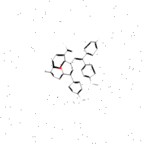 CCN(CC)c1ccc(C(=CC(C=C(c2ccc(Cl)cc2)c2ccc(N(CC)CC)cc2)c2ccccc2C(N)=O)c2ccc(Cl)cc2)cc1